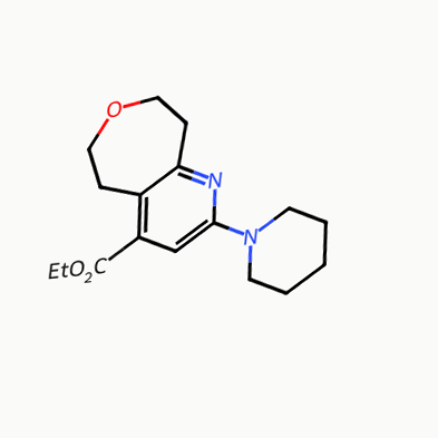 CCOC(=O)c1cc(N2CCCCC2)nc2c1CCOCC2